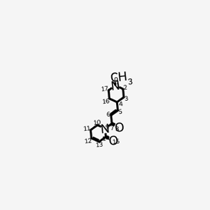 CN1CCC(C=CC(=O)N2CCC=CC2=O)CC1